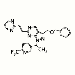 CC(c1ccc(C(F)(F)F)nc1)n1nc(COCc2ccccc2)c2cnc(C=Cc3ncccn3)nc21